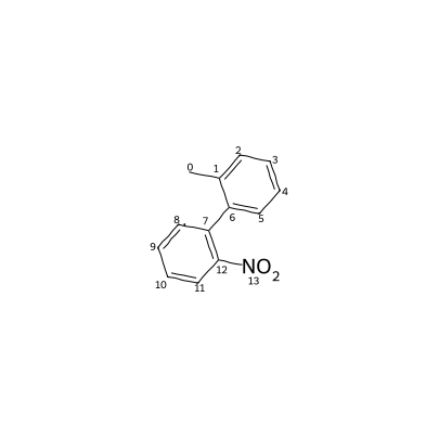 Cc1ccccc1-c1[c]cccc1[N+](=O)[O-]